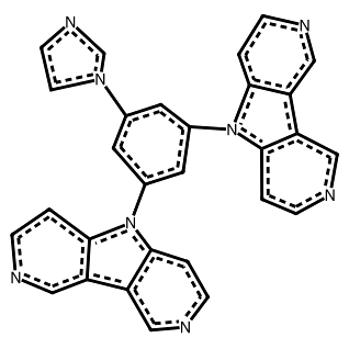 c1cc2c(cn1)c1cnccc1n2-c1cc(-n2ccnc2)cc(-n2c3ccncc3c3cnccc32)c1